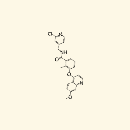 COc1ccc2c(Oc3cccc(C(=O)NCc4ccnc(Cl)c4)c3C)ccnc2c1